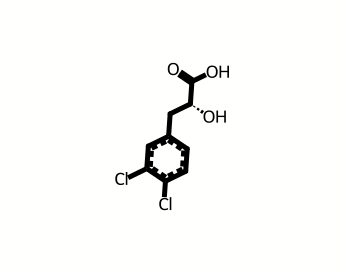 O=C(O)[C@H](O)Cc1ccc(Cl)c(Cl)c1